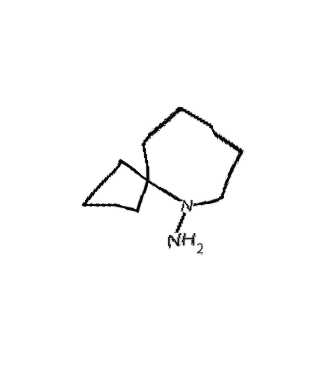 NN1CCCCCC12CCC2